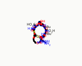 CCCC[C@@H]1NC(=O)[C@@H]2CCCN2C(=O)[C@@H]2CSCc3cc(cc(c3)OCCCCCCO/N=C/C(=O)N[C@@H](CCCNC(=N)N)C(=O)N2)CSC[C@@H](C(N)=O)NC(=O)[C@H](CCC(=O)O)NC(=O)[C@H](Cc2ccc(O)cc2)NC(=O)[C@@H]2CCCN2C(=O)[C@H](CC(C)(C)C)NC(=O)[C@H](CC(=O)O)NC1=O